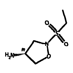 CCS(=O)(=O)N1C[C@@H](N)CO1